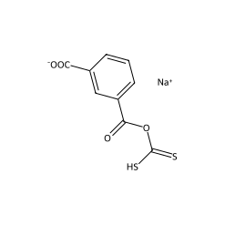 O=C([O-])c1cccc(C(=O)OC(=S)S)c1.[Na+]